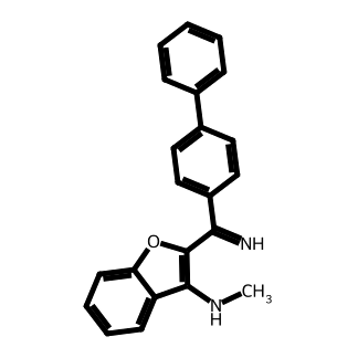 CNc1c(C(=N)c2ccc(-c3ccccc3)cc2)oc2ccccc12